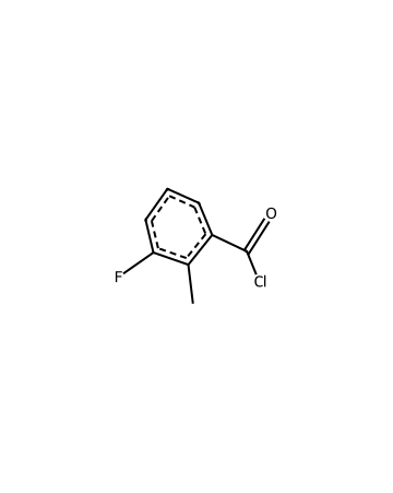 Cc1c(F)cccc1C(=O)Cl